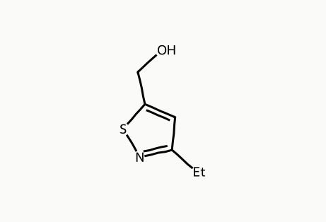 CCc1cc(CO)sn1